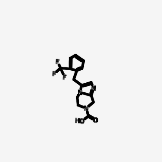 O=C(O)N1CCn2c(Cc3ccccc3C(F)(F)F)cnc2C1